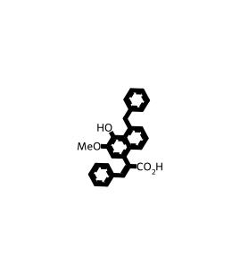 COc1cc(/C(=C\c2ccccc2)C(=O)O)c2cccc(Cc3ccccc3)c2c1O